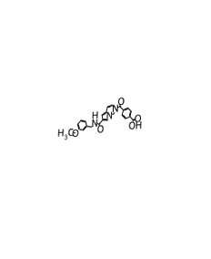 COc1cccc(CNC(=O)c2cc3n(c2)CN(C(=O)c2ccc(C(=O)O)cc2)C=C3)c1